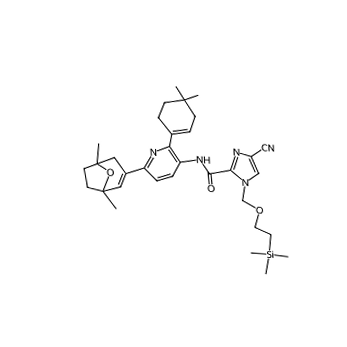 CC1(C)CC=C(c2nc(C3=CC4(C)CCC(C)(C3)O4)ccc2NC(=O)c2nc(C#N)cn2COCC[Si](C)(C)C)CC1